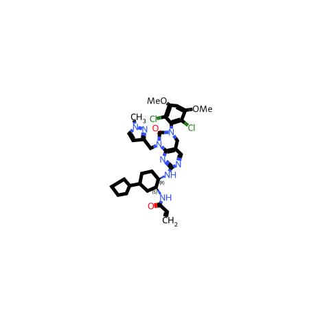 C=CC(=O)N[C@H]1CC(C2CCCC2)CC[C@H]1Nc1ncc2c(n1)N(Cc1ccn(C)n1)C(=O)N(c1c(Cl)c(OC)cc(OC)c1Cl)C2